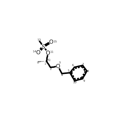 C[C@@H](COCc1ccccc1)OS(C)(=O)=O